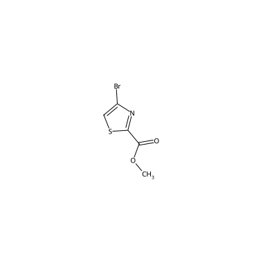 COC(=O)c1nc(Br)cs1